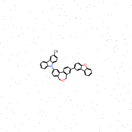 N#Cc1ccc2c(c1)c1ccccc1n2-c1ccc2c(c1)-c1ccc(-c3ccc4oc5ccccc5c4c3)cc1COC2